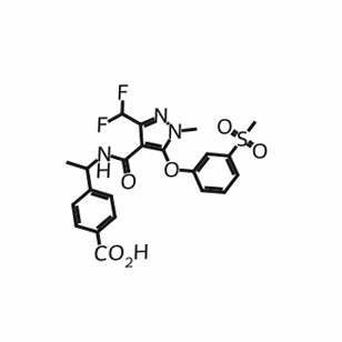 CC(NC(=O)c1c(C(F)F)nn(C)c1Oc1cccc(S(C)(=O)=O)c1)c1ccc(C(=O)O)cc1